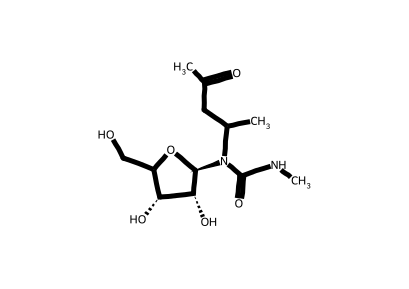 CNC(=O)N(C(C)CC(C)=O)[C@@H]1OC(CO)[C@@H](O)[C@H]1O